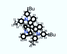 CC(C)(C)c1ccc(N(c2ccc([Si](C)(C)C)cc2)c2cc3c(c4ccccc24)-c2c(cc(N(c4ccc(C(C)(C)C)cc4)c4ccc([Si](C)(C)C)cc4)c4ccccc24)C32c3ccccc3-n3c4ccccc4c4cccc2c43)cc1